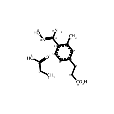 CCC(=O)O.Cc1cc(CCC(=O)O)ccc1/C(N)=N/O